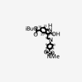 CNS(=O)(=O)c1ccc(/N=C/c2c(O)[nH]c3ccc(C(=O)OCC(C)C)cc23)cc1